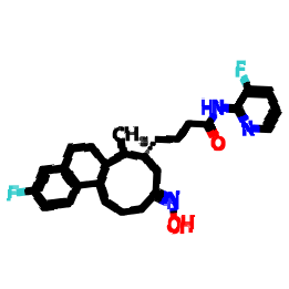 CC1C2CCc3cc(F)ccc3C2CCC/C(=N\O)C[C@H]1CCCC(=O)Nc1ncccc1F